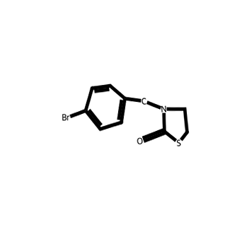 O=C1SCCN1Cc1ccc(Br)cc1